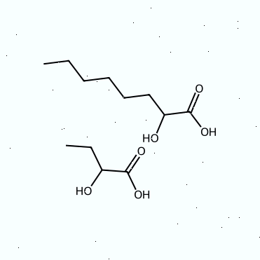 CCC(O)C(=O)O.CCCCCCC(O)C(=O)O